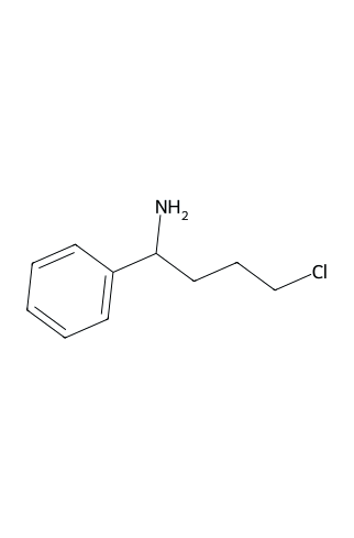 NC(CCCCl)c1ccccc1